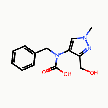 Cn1cc(N(Cc2ccccc2)C(=O)O)c(CO)n1